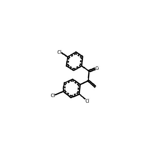 C=C(C(=O)c1ccc(Cl)cc1)c1ccc(Cl)cc1Cl